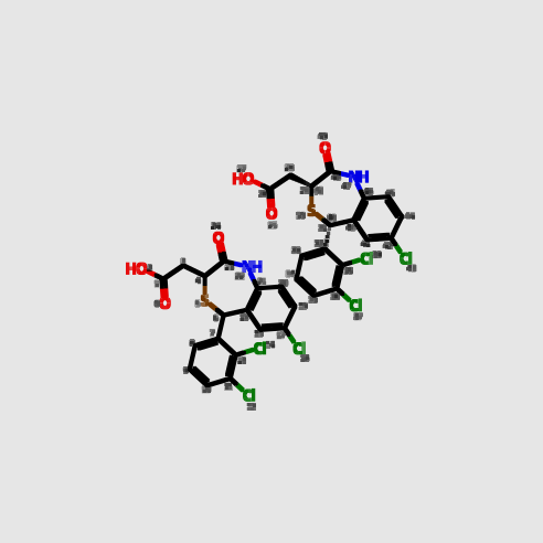 O=C(O)CC1SC(c2cccc(Cl)c2Cl)c2cc(Cl)ccc2NC1=O.O=C(O)C[C@@H]1S[C@@H](c2cccc(Cl)c2Cl)c2cc(Cl)ccc2NC1=O